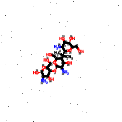 CC(C)([C@@H]1C(CO)O[C@@H](O[C@@H]2C(CO)O[C@@H](O)C(N)C2O)C(N)C1O)[C@@H]1OC(CO)[C@@H](O)C(O)C1N